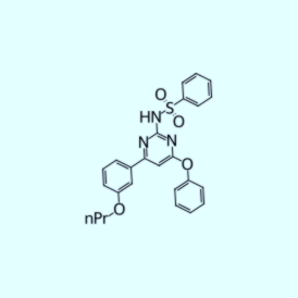 CCCOc1cccc(-c2cc(Oc3ccccc3)nc(NS(=O)(=O)c3ccccc3)n2)c1